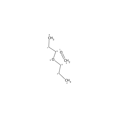 C=O.CCCOCCC